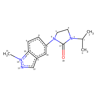 CC(C)N1CCN(c2ccc3c(cnn3C)c2)C1=O